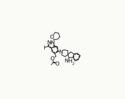 CC(=O)OCc1cc2c(I)nn(C3CCCCO3)c2cc1N1CCC2(CC1)Cc1ccccc1C2N